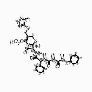 Cn1nnnc1SCC1=C(C(=O)O)N2C(=O)C(NC(=O)C(NC(=O)NC(=O)NCc3ccccc3)c3ccccc3)[C@@H]2SC1